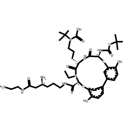 CCN1C(=O)[C@H](CCCN(C(=O)O)C(C)(C)C)NC(=O)[C@@H](NC(=O)OC(C)(C)C)Cc2cc(ccc2O)-c2ccc(O)c(c2)C[C@H]1C(=O)NCCC[C@H](N)CC(=O)NCCN